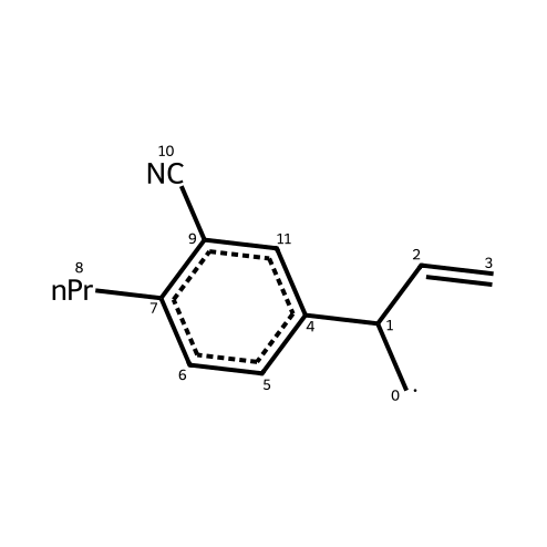 [CH2]C(C=C)c1ccc(CCC)c(C#N)c1